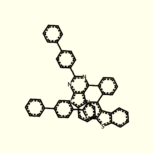 c1ccc(-c2ccc(-c3nc(-c4ccccc4-c4nc(-c5ccc(-c6ccccc6)cc5)nc5sc6ccccc6c45)c4c(n3)sc3ccccc34)cc2)cc1